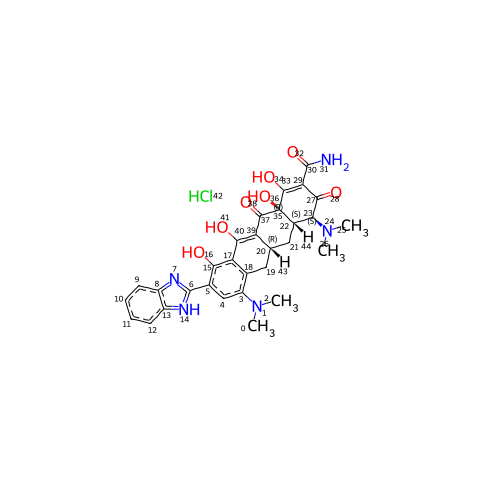 CN(C)c1cc(-c2nc3ccccc3[nH]2)c(O)c2c1C[C@H]1C[C@H]3[C@H](N(C)C)C(=O)C(C(N)=O)=C(O)[C@@]3(O)C(=O)C1=C2O.Cl